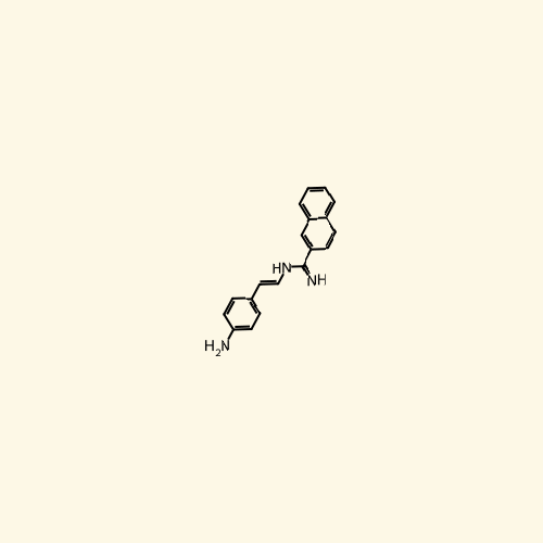 N=C(NC=Cc1ccc(N)cc1)c1ccc2ccccc2c1